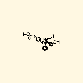 N#CCCc1nn(C[C@H]2CC[C@@H](COCC(=O)O)CC2)c(-c2ccccc2)c1-c1cccc(O)c1